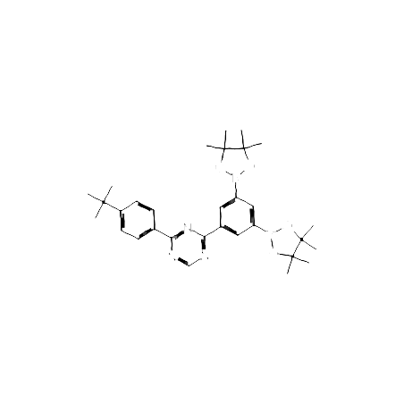 CC(C)(C)c1ccc(-c2ncnc(-c3cc(B4OC(C)(C)C(C)(C)O4)cc(B4OC(C)(C)C(C)(C)O4)c3)n2)cc1